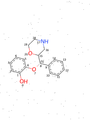 Oc1ccccc1O[C@@H](c1ccccc1)C1CNCCO1